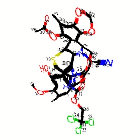 COc1c(C)cc2c(c1O)C1C3C4SCC(NC(=O)OCC(Cl)(Cl)Cl)C(=O)OCC(c5c6c(c(C)c(OC(C)=O)c54)OCO6)N3[C@@H](C#N)C(C2)N1C